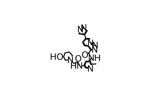 Cc1ncc(NC(=O)CN2CCCC(O)C2)cc1NC(=O)c1nnn2cc(-c3cnn(C)c3)ccc12